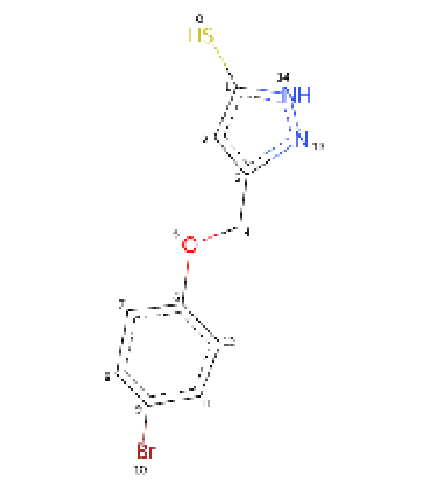 Sc1cc(COc2ccc(Br)cc2)n[nH]1